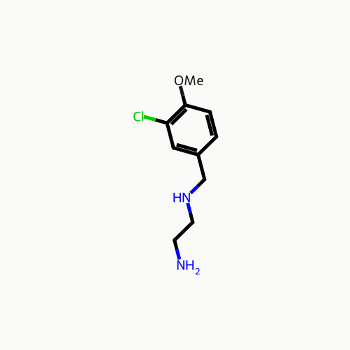 COc1ccc(CNCCN)cc1Cl